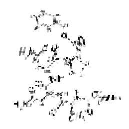 C[C@H](NC(=O)OC(C)(C)C)C(=O)N[C@@H](CC(N)=O)C(=O)N[C@@H](CC(N)=O)C(=O)N1CCC[C@H]1C(=O)OCc1ccccc1